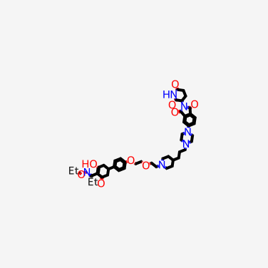 CCO/N=C(\CC)C1=C(O)CC(c2ccc(OCCOCCN3CCC(CCCN4CCN(c5ccc6c(c5)C(=O)N(C5CCC(=O)NC5=O)C6=O)CC4)CC3)cc2)CC1=O